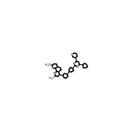 Cc1ccc2ccc3c(-c4cccc(-c5ccc(-c6nc(-c7ccccc7)cc(-c7cccnc7)n6)cc5)c4)cc(C)nc3c2n1